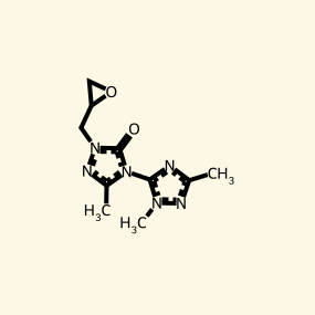 Cc1nc(-n2c(C)nn(CC3CO3)c2=O)n(C)n1